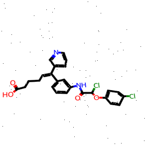 O=C(O)CCCC=C(c1cccnc1)c1cccc(NC(=O)C(Cl)Oc2ccc(Cl)cc2)c1